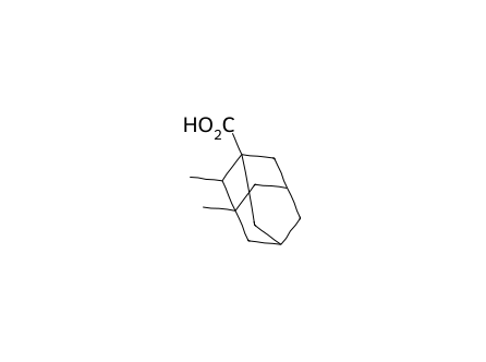 CC1C2(C)CC3CC(C2)CC1(C(=O)O)C3